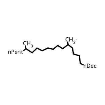 [CH2]C(CCCCCCCCCCCCCC)CCCCCCCC(C)CCCCC